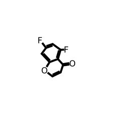 O=c1ccoc2cc(F)cc(F)c12